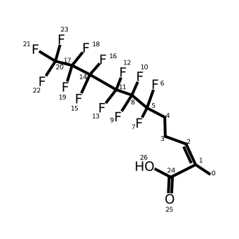 CC(=CCCC(F)(F)C(F)(F)C(F)(F)C(F)(F)C(F)(F)C(F)(F)F)C(=O)O